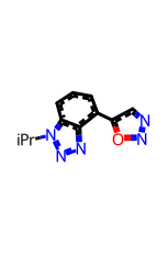 CC(C)n1nnc2c(-c3cnno3)cccc21